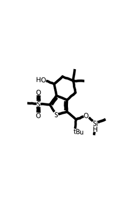 C[SiH](C)OC(c1sc(S(C)(=O)=O)c2c1CC(C)(C)CC2O)C(C)(C)C